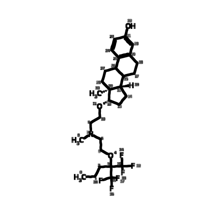 CCCC(OCCN(C)CCO[C@H]1CC[C@H]2C3CCc4cc(O)ccc4C3CC[C@]12C)(C(F)(F)F)C(F)(F)F